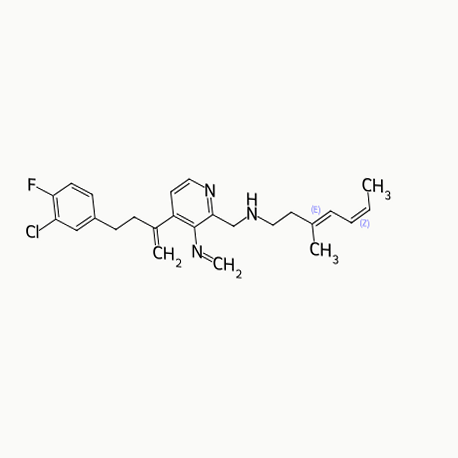 C=Nc1c(C(=C)CCc2ccc(F)c(Cl)c2)ccnc1CNCC/C(C)=C/C=C\C